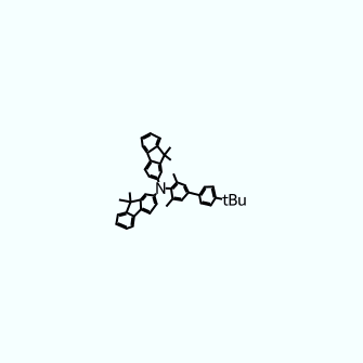 Cc1cc(-c2ccc(C(C)(C)C)cc2)cc(C)c1N(c1ccc2c(c1)C(C)(C)c1ccccc1-2)c1ccc2c(c1)C(C)(C)c1ccccc1-2